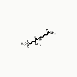 CS(=O)(=O)CCC(N)C(=O)NCCCCC(N)=O